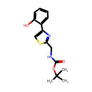 CC(C)(C)OC(=O)NCc1nc(-c2ccccc2O)cs1